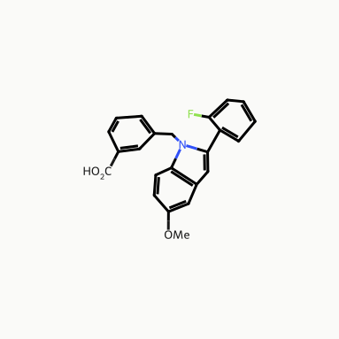 COc1ccc2c(c1)cc(-c1ccccc1F)n2Cc1cccc(C(=O)O)c1